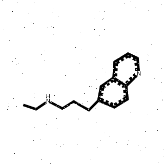 CCNCCCc1ccc2ncccc2c1